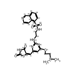 CN(C)CCOc1cc(C=C2SC(=O)NC2=O)nc(NCCNS(=O)(=O)c2cccc3cnccc23)n1